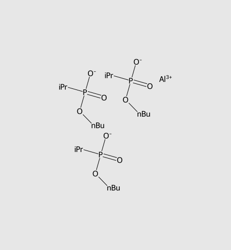 CCCCOP(=O)([O-])C(C)C.CCCCOP(=O)([O-])C(C)C.CCCCOP(=O)([O-])C(C)C.[Al+3]